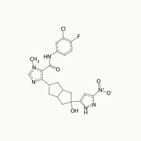 Cn1cnc(C2CC3CC(O)(c4cc([N+](=O)[O-])n[nH]4)CC3C2)c1C(=O)Nc1ccc(F)c(Cl)c1